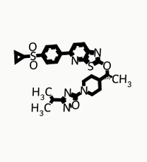 CC(C)c1noc(N2CCC([C@H](C)Oc3nc4ccc(-c5ccc(S(=O)(=O)C6CC6)cc5)nc4s3)CC2)n1